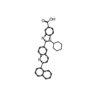 O=C(O)c1ccc2c(c1)nc(-c1ccc3nc(-c4cccc5ccccc45)ccc3c1)n2C1CCCCC1